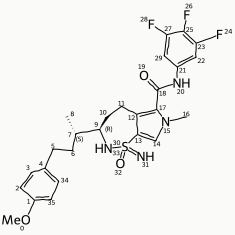 COc1ccc(CC[C@H](C)[C@H]2CCc3c(cn(C)c3C(=O)Nc3cc(F)c(F)c(F)c3)S(=N)(=O)N2)cc1